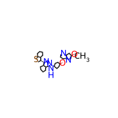 COc1cnc2c(Oc3ccc(Nc4nnc(-c5csc6ccccc56)c5ccccc45)cc3)ccnc2c1